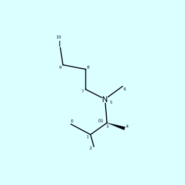 CC(C)[C@H](C)N(C)CCCI